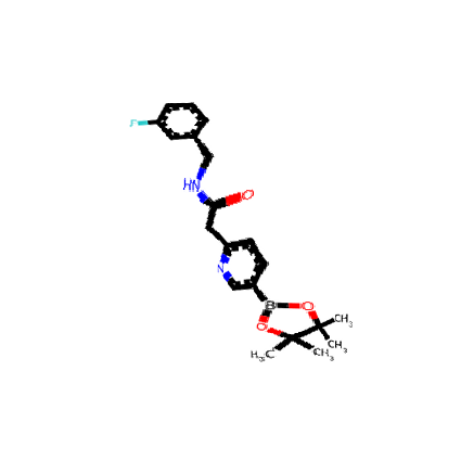 CC1(C)OB(c2ccc(CC(=O)NCc3cccc(F)c3)nc2)OC1(C)C